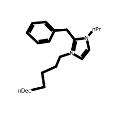 CCCCCCCCCCCCCC[n+]1ccn(CCC)c1Cc1ccccc1